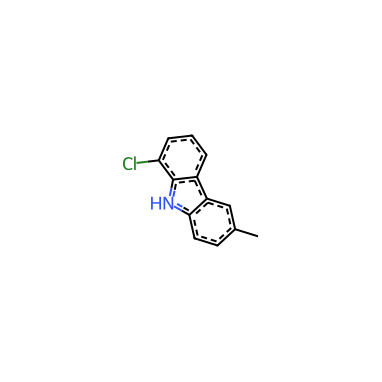 Cc1ccc2[nH]c3c(Cl)cccc3c2c1